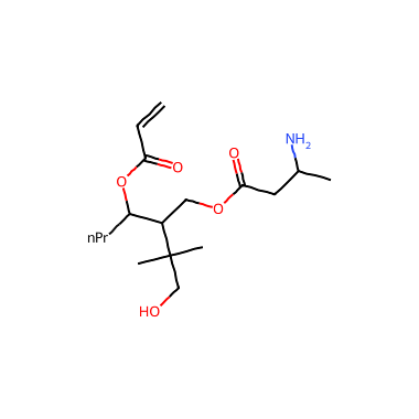 C=CC(=O)OC(CCC)C(COC(=O)CC(C)N)C(C)(C)CO